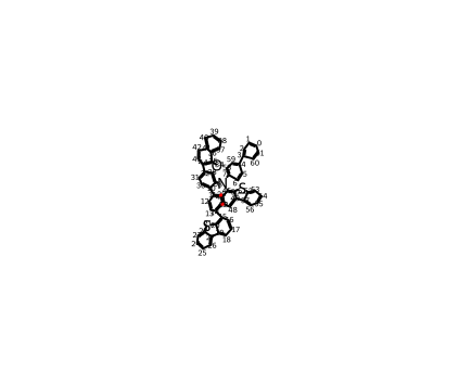 c1ccc(-c2ccc(N(c3c(-c4ccc(-c5cccc6c5sc5ccccc56)cc4)ccc4c3oc3c5ccccc5ccc43)c3cccc4c3sc3ccccc34)cc2)cc1